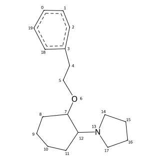 c1ccc(CCOC2CCCCC2N2CCCC2)cc1